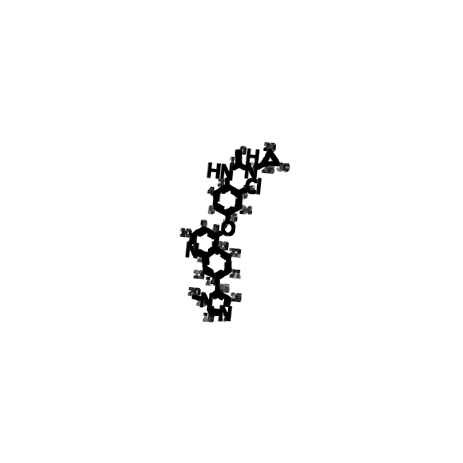 C=C(Nc1ccc(Oc2ccnc3cc(-c4cncn4C)ccc23)cc1Cl)NC1CC1